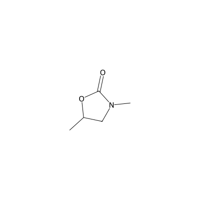 CC1CN(C)C(=O)O1